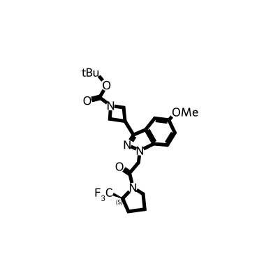 COc1ccc2c(c1)c(C1CN(C(=O)OC(C)(C)C)C1)nn2CC(=O)N1CCC[C@H]1C(F)(F)F